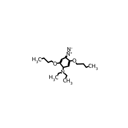 CCCCOC1=CC(N(CC)CC)C(OCCCC)=CC1=[N+]=[N-]